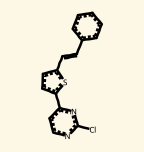 Clc1nccc(-c2ccc(C=Cc3ccccc3)s2)n1